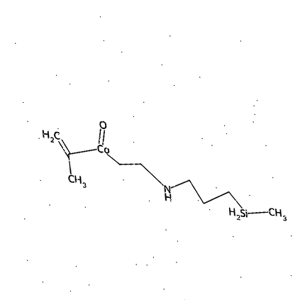 C=[C](C)[Co](=[O])[CH2]CNCCC[SiH2]C